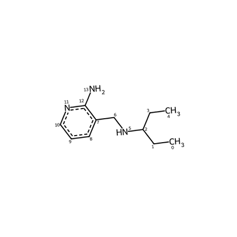 CCC(CC)NCc1cccnc1N